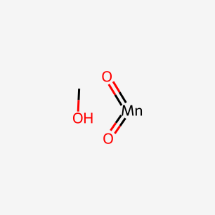 CO.[O]=[Mn]=[O]